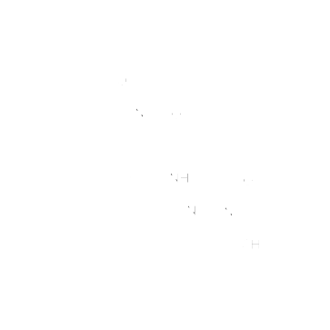 C/[N+]([O-])=N/Nc1ccccc1[N+](=O)[O-]